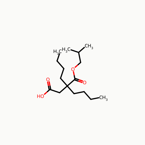 CCCCC(CCCC)(CC(=O)O)C(=O)OCC(C)C